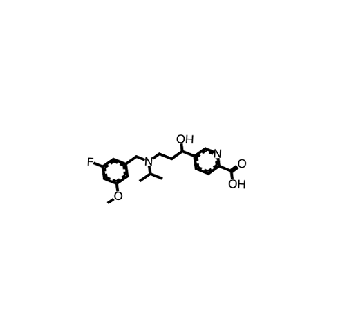 COc1cc(F)cc(CN(CCC(O)c2ccc(C(=O)O)nc2)C(C)C)c1